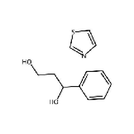 OCCC(O)c1ccccc1.c1cscn1